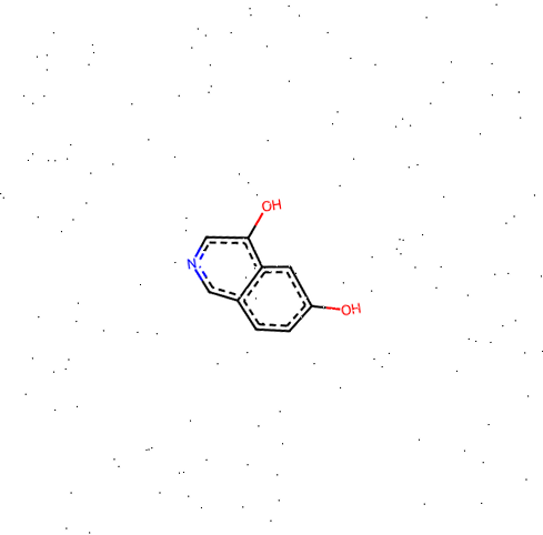 Oc1ccc2cncc(O)c2c1